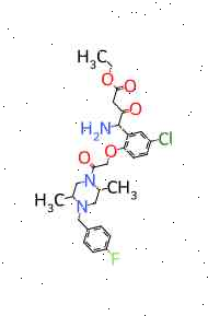 CCOC(=O)CC(=O)C(N)c1cc(Cl)ccc1OCC(=O)N1CC(C)N(Cc2ccc(F)cc2)CC1C